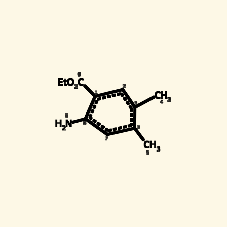 CCOC(=O)c1cc(C)c(C)cc1N